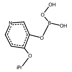 CC(C)Oc1ccncc1OB(O)OO